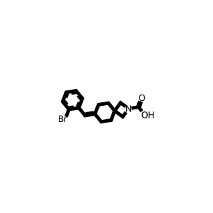 O=C(O)N1CC2(CCC(=Cc3ccccc3Br)CC2)C1